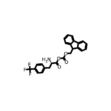 N[C@@H](Cc1ccc(C(F)(F)F)cc1)C(=O)OC(=O)OCC1c2ccccc2-c2ccccc21